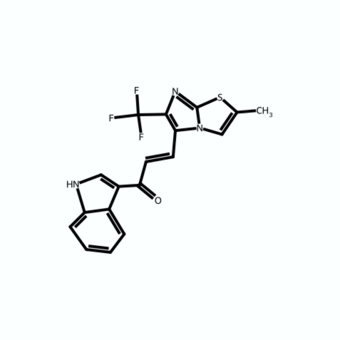 Cc1cn2c(C=CC(=O)c3c[nH]c4ccccc34)c(C(F)(F)F)nc2s1